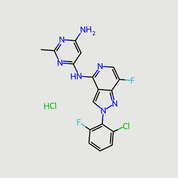 Cc1nc(N)cc(Nc2ncc(F)c3nn(-c4c(F)cccc4Cl)cc23)n1.Cl